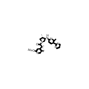 COc1cc([C@@H](C)C(=O)N2C[C@H](C)[C@H](Nc3ccc(-c4ncccn4)c(C)n3)C2)c(F)cn1